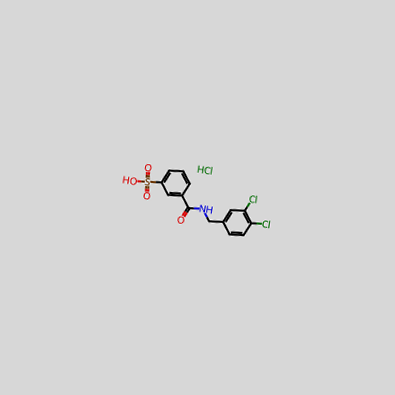 Cl.O=C(NCc1ccc(Cl)c(Cl)c1)c1cccc(S(=O)(=O)O)c1